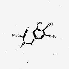 C=C(Cc1cc(CCCC)c(O)c(CCCC)c1)C(=O)OC